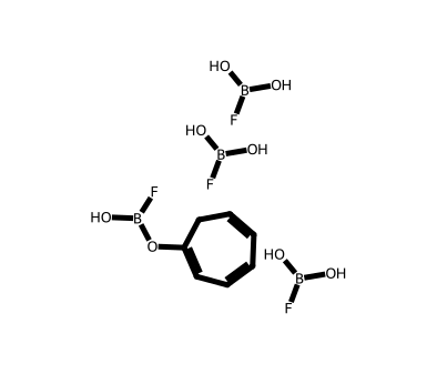 OB(F)OC1=CC=CC=CC1.OB(O)F.OB(O)F.OB(O)F